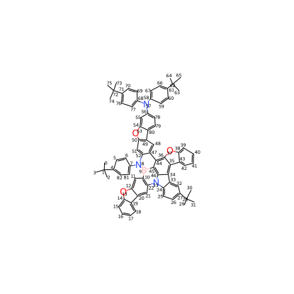 CC(C)(C)c1ccc(N2B3c4cc5oc6ccccc6c5cc4-n4c5ccc(C(C)(C)C)cc5c5c6c(oc7ccccc76)c(c3c54)-c3cc4c(cc32)oc2cc(N(c3ccc(C(C)(C)C)cc3)c3ccc(C(C)(C)C)cc3)ccc24)cc1